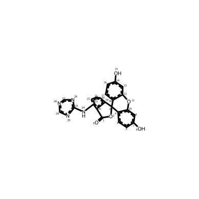 O=C1OC2(c3ccc(O)cc3Oc3cc(O)ccc32)c2cccc(Nc3ncncn3)c21